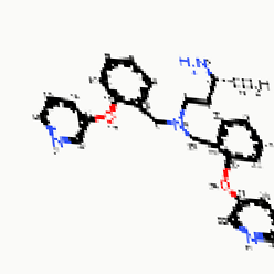 N[C@@H](CCN(Cc1ccccc1Oc1cccnc1)Cc1ccccc1Oc1cccnc1)C(=O)O